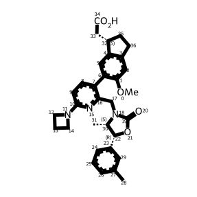 COc1cc2c(cc1-c1ccc(N3CCC3)nc1CN1C(=O)O[C@H](c3cccc(C)c3)[C@@H]1C)[C@H](CC(=O)O)CC2